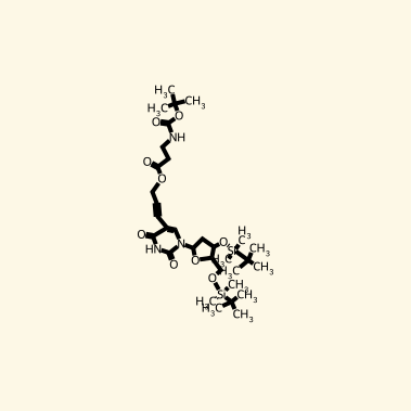 CC(C)(C)OC(=O)NCCC(=O)OCC#Cc1cn(C2CC(O[Si](C)(C)C(C)(C)C)C(CO[Si](C)(C)C(C)(C)C)O2)c(=O)[nH]c1=O